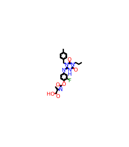 CCCn1c(=O)[nH]/c(=N\c2ccc(Oc3nc(C(=O)O)co3)c(F)c2)n(Cc2ccc(C)cc2)c1=O